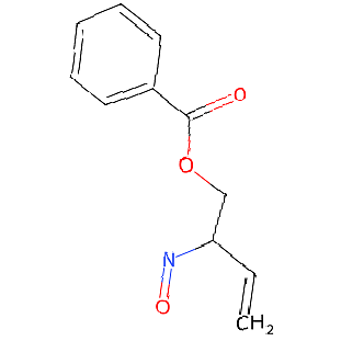 C=CC(COC(=O)c1ccccc1)N=O